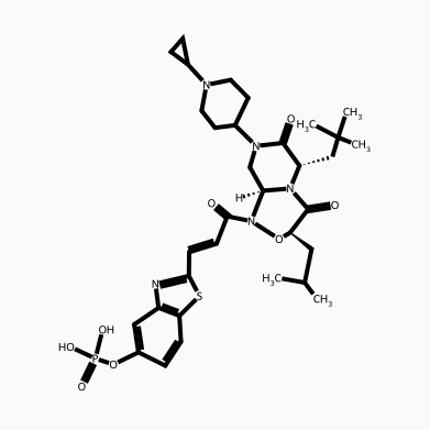 CC(C)C[C@H]1ON(C(=O)/C=C/c2nc3cc(OP(=O)(O)O)ccc3s2)[C@H]2CN(C3CCN(C4CC4)CC3)C(=O)[C@H](CC(C)(C)C)N2C1=O